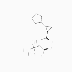 CC(=O)[C@@H](CC(=O)C1CC1C1CCCC1)C(C)(C)C